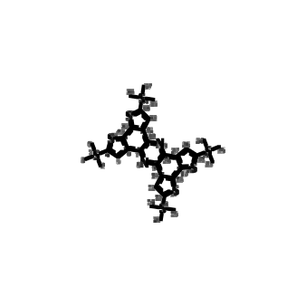 CS(C)(C)c1cc2c3nc4c5cc(S(C)(C)C)sc5c5sc(S(C)(C)C)cc5c4nc3c3cc(S(C)(C)C)sc3c2s1